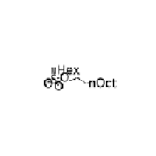 CCCCCCCCCCCOS(=O)(=O)CCCCCC